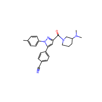 Cc1ccc(-n2nc(C(=O)N3CCCC(N(C)C)C3)cc2-c2ccc(C#N)cc2)cc1